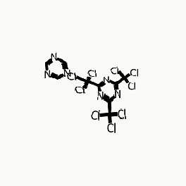 ClC(Cl)(Cl)c1nc(C(Cl)(Cl)Cl)nc(C(Cl)(Cl)Cl)n1.c1ncncn1